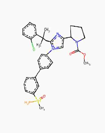 COC(=O)N1CCCC1c1cn(-c2ccc(-c3cccc([SH](C)(=O)P)c3)cc2)c(C(C)(C)c2ccccc2Cl)n1